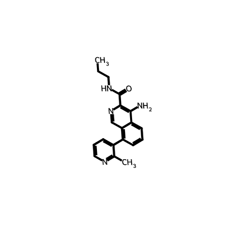 CCCNC(=O)c1ncc2c(-c3cccnc3C)cccc2c1N